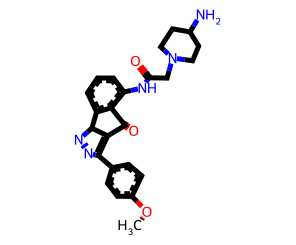 COc1ccc(C2=C3C(=O)c4c(NC(=O)CN5CCC(N)CC5)cccc4C3N=N2)cc1